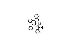 O=C(Nc1ccccc1)Nc1cc2ccccc2c(-c2ccccc2)c1OCc1ccccc1